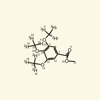 [2H]C([2H])([2H])Oc1cc(C(=O)OC)cc(OC([2H])([2H])[2H])c1OC([2H])([2H])[2H]